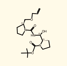 C=CCOC[C@@H]1CCCN1C(=O)N[C@@H](O)[C@@H]1CCCN1C(=O)OC(C)(C)C